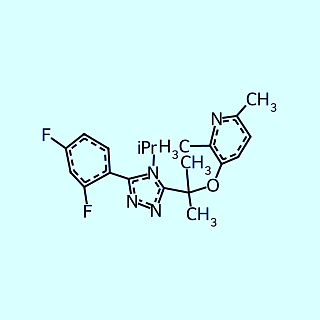 Cc1ccc(OC(C)(C)c2nnc(-c3ccc(F)cc3F)n2C(C)C)c(C)n1